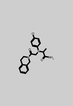 CC(C(N)=O)N(CC(=O)N1CCc2ccccc2C1)c1ccc(Cl)cc1